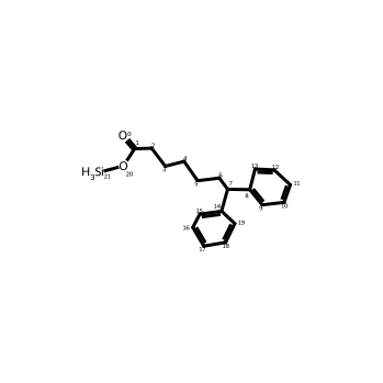 O=C(CCCCCC(c1ccccc1)c1ccccc1)O[SiH3]